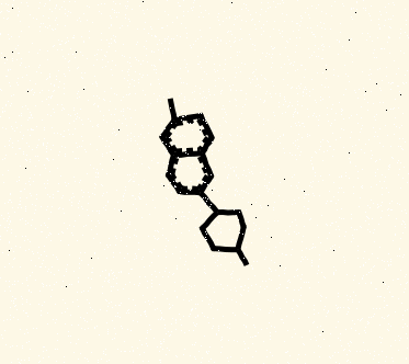 Cc1ccc2cc(C3CCC(C)CC3)ccc2c1